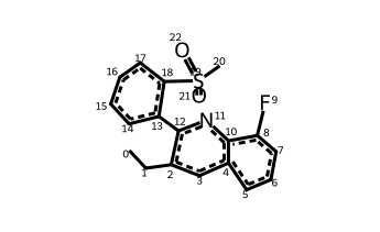 CCc1cc2cccc(F)c2nc1-c1ccccc1S(C)(=O)=O